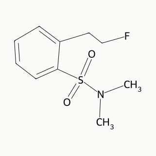 CN(C)S(=O)(=O)c1ccccc1CCF